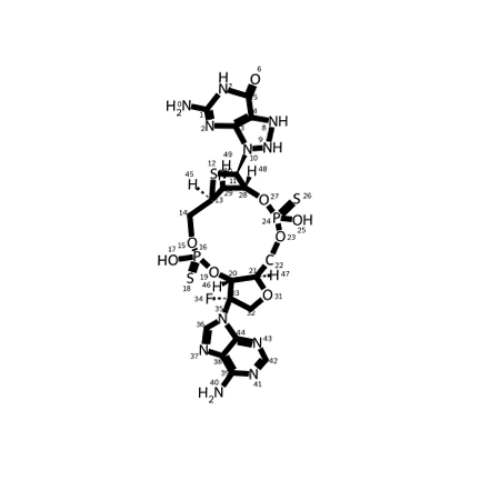 Nc1nc2c(c(=O)[nH]1)NNN2[C@@H]1S[C@@H]2COP(O)(=S)O[C@@H]3[C@@H](COP(O)(=S)O[C@@H]1[C@@H]2F)OC[C@@]3(F)n1cnc2c(N)ncnc21